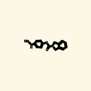 O=NBc1ccc(OC(=O)N2Cc3ccccc3C2)cc1